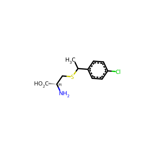 CC(SC[C@H](N)C(=O)O)c1ccc(Cl)cc1